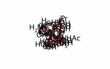 CC(=O)NC1C(O)[C@H](O)C(CO)O[C@H]1O[C@]12C[C@]13NC(=O)[C@H](NC(=O)[C@@H]1NC(=O)[C@H]4NC(=O)[C@@H](CC5=CC(C)=C(CC5)Oc5cc1cc(c5O[C@@H]1OC(CO)[C@@H](O)C(O)C1NC(=O)CC(C)C)OC1=CC=C2C[C@@H]1Cl)NC(=O)[C@H](N)c1ccc(O)c(c1)Oc1cc(O)cc4c1)C1=CC=C(CO)C(C2=C(O[C@H]4OC(CO)[C@@H](O)C(O)C4O)CC(C)(O)C=C2[C@@H](C(=O)O)NC3=O)C1C